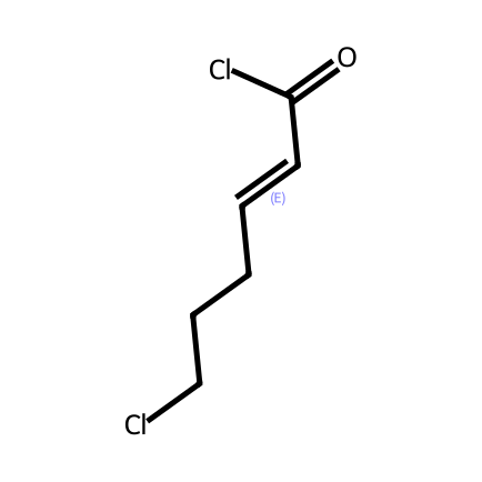 O=C(Cl)/C=C/CCCCl